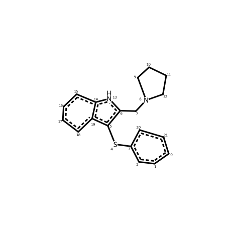 c1ccc(Sc2c(CN3CCCC3)[nH]c3ccccc23)cc1